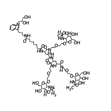 CC(=O)NC1C(OCCOCCNC(=O)CCC(NC(=O)CCC(NC(=O)CCCCCCC(=O)NCCCc2cn(C[C@@H](O)CO)c3ccccc23)C(=O)NCCOCCOC2OC(CO)C(O)C(O)C2NC(C)=O)C(=O)NCCOCCOC2O[C@H](CO)C(O)C(O)C2NC(C)=O)OC(CO)C(O)C1O